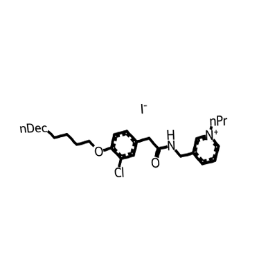 CCCCCCCCCCCCCCOc1ccc(CC(=O)NCc2ccc[n+](CCC)c2)cc1Cl.[I-]